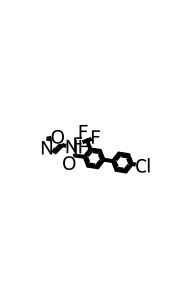 O=C(Nc1cnco1)c1ccc(-c2ccc(Cl)cc2)cc1C(F)(F)F